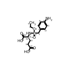 CCOP(=O)(Cc1ccc(N)cc1)N[C@@H](CCC(=O)O)C(=O)O